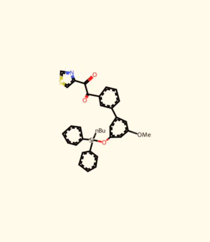 CCCC[Si](Oc1cc(OC)cc(-c2cccc(C(=O)C(=O)c3cscn3)c2)c1)(c1ccccc1)c1ccccc1